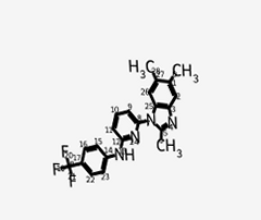 Cc1cc2nc(C)n(-c3cccc(Nc4ccc(C(F)(F)F)cc4)n3)c2cc1C